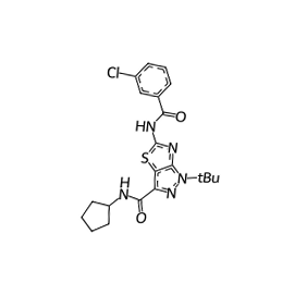 CC(C)(C)n1nc(C(=O)NC2CCCC2)c2sc(NC(=O)c3cccc(Cl)c3)nc21